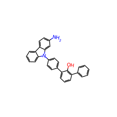 Nc1ccc2c3ccccc3n(-c3ccc(-c4cccc(-c5ccccc5)c4O)cc3)c2c1